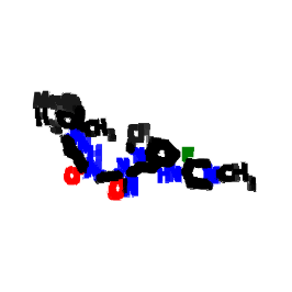 COCC(C)(C)n1ccc(C(=O)NCc2nc(-c3cc4c(N[C@@H]5CCN(C)C[C@@H]5F)cccc4n3CC(F)(F)F)no2)n1